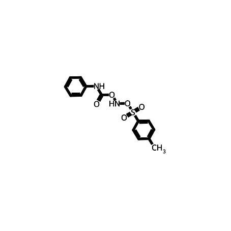 Cc1ccc(S(=O)(=O)ONOC(=O)Nc2ccccc2)cc1